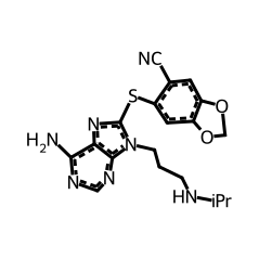 CC(C)NCCCn1c(Sc2cc3c(cc2C#N)OCO3)nc2c(N)ncnc21